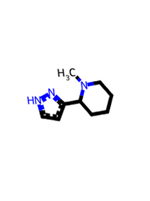 CN1CCCCC1c1cc[nH]n1